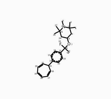 CN1C(C)(C)CC(OC(F)(F)c2ccc(C3C=CC=CC=C3)cc2)CC1(C)C